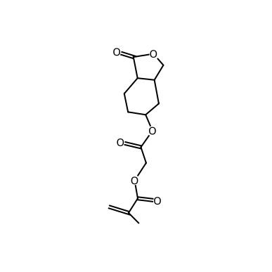 C=C(C)C(=O)OCC(=O)OC1CCC2C(=O)OCC2C1